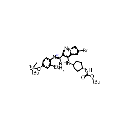 CCc1cc(O[Si](C)(C)C(C)(C)C)ccc1/N=C(\N)c1cnn2cc(Br)cc2c1N[C@H]1CC[C@H](NC(=O)OC(C)(C)C)CC1